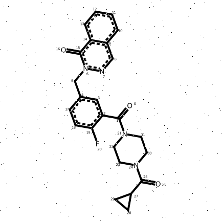 O=C(c1cc(Cn2ncc3ccccc3c2=O)ccc1F)N1CCN(C(=O)C2CC2)CC1